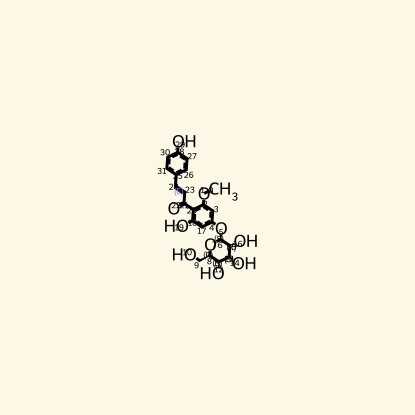 COc1cc(O[C@@H]2O[C@H](CO)[C@@H](O)[C@H](O)[C@H]2O)cc(O)c1C(=O)/C=C/c1ccc(O)cc1